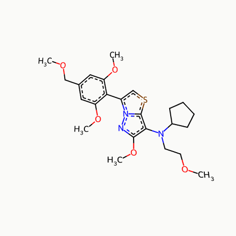 COCCN(c1c(OC)nn2c(-c3c(OC)cc(COC)cc3OC)csc12)C1CCCC1